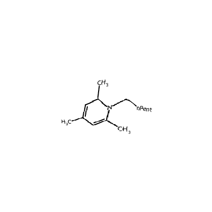 CCCCCCN1C(C)=CC(C)=CC1C